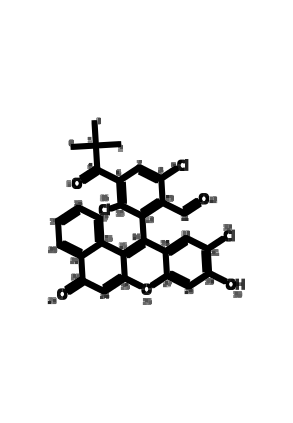 CC(C)(C)C(=O)c1cc(Cl)c(C=O)c(-c2c3c4ccccc4c(=O)cc-3oc3cc(O)c(Cl)cc23)c1Cl